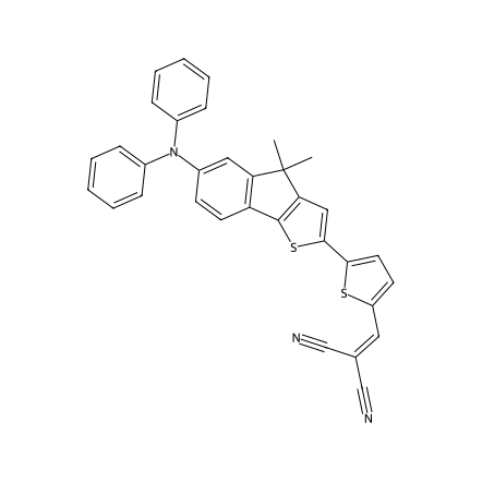 CC1(C)c2cc(N(c3ccccc3)c3ccccc3)ccc2-c2sc(-c3ccc(C=C(C#N)C#N)s3)cc21